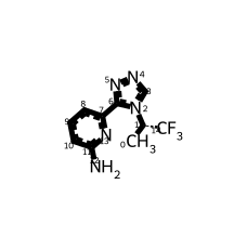 C[C@H](n1cnnc1-c1cccc(N)n1)C(F)(F)F